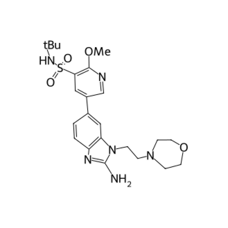 COc1ncc(-c2ccc3nc(N)n(CCN4CCOCC4)c3c2)cc1S(=O)(=O)NC(C)(C)C